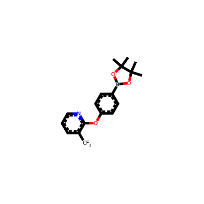 CC1(C)OB(c2ccc(Oc3ncccc3C(F)(F)F)cc2)OC1(C)C